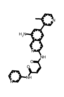 Cc1ccncc1-c1cc(N)c2cnc(NC(=O)/C=C\C(=O)Nc3cccnc3)cc2c1